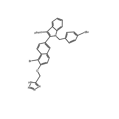 CCCCCc1c(-c2ccc3c(Br)c(OCc4nnn[nH]4)ccc3c2)n(Cc2ccc(C(C)(C)C)cc2)c2ccccc12